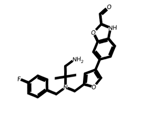 CC(C)(CN)N(Cc1ccc(F)cc1)Cc1cc(-c2ccc3c(c2)OC(C=O)N3)co1